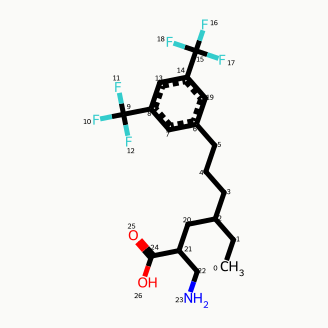 CCC(CCCc1cc(C(F)(F)F)cc(C(F)(F)F)c1)CC(CN)C(=O)O